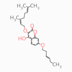 CCC=CCCOc1ccc2c(O)c(OCC=C(C)CCC=C(C)C)c(=O)oc2c1